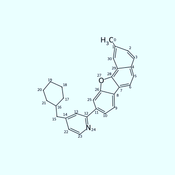 Cc1ccc2ccc3c4ccc(-c5cc(CC6CCCCC6)ccn5)cc4oc3c2c1